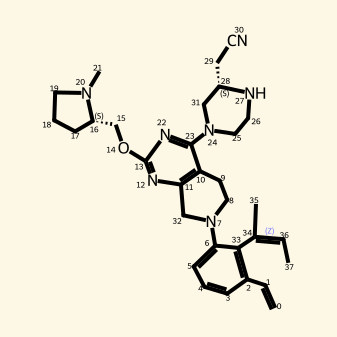 C=Cc1cccc(N2CCc3c(nc(OC[C@@H]4CCCN4C)nc3N3CCN[C@@H](CC#N)C3)C2)c1/C(C)=C\C